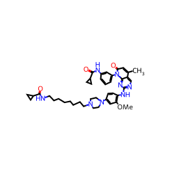 COc1cc(N2CCN(CCCCCCCCNC(=O)C3CC3)CC2)ccc1Nc1ncc2c(C)cc(=O)n(-c3cccc(NC(=O)C4CC4)c3)c2n1